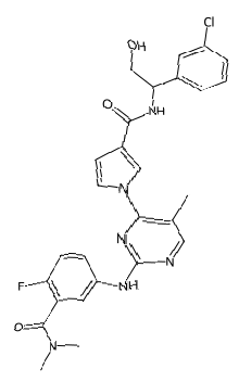 Cc1cnc(Nc2ccc(F)c(C(=O)N(C)C)c2)nc1-n1ccc(C(=O)NC(CO)c2cccc(Cl)c2)c1